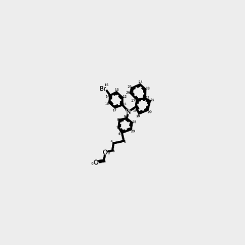 O=COCCCc1ccc(N(c2ccc(Br)cc2)c2cccc3ccccc23)cc1